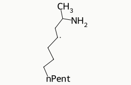 CCCCCCCC[CH]CC(C)N